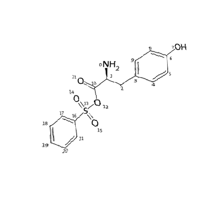 N[C@@H](Cc1ccc(O)cc1)C(=O)OS(=O)(=O)c1ccccc1